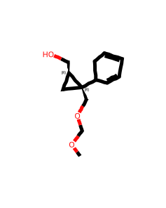 COCOC[C@@]1(C2C=CC=CC2)C[C@H]1CO